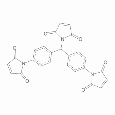 O=C1C=CC(=O)N1c1ccc(C(c2ccc(N3C(=O)C=CC3=O)cc2)N2C(=O)C=CC2=O)cc1